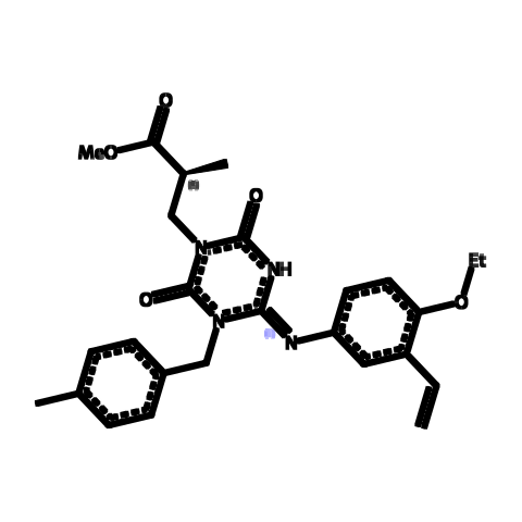 C=Cc1cc(/N=c2\[nH]c(=O)n(C[C@H](C)C(=O)OC)c(=O)n2Cc2ccc(C)cc2)ccc1OCC